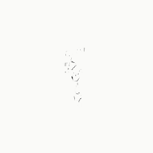 O=c1[nH]c(N2CCC[C@@H]2CO)ccc1-n1ccc(OCc2ccc(Cl)cn2)cc1=O